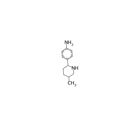 CC1CCC(c2ccc(N)cc2)NC1